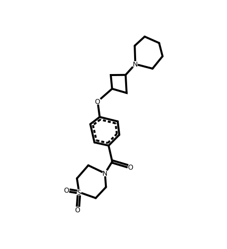 O=C(c1ccc(OC2CC(N3CCCCC3)C2)cc1)N1CCS(=O)(=O)CC1